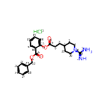 Cl.N=C(N)N1CCC(CCC(=O)Oc2ccccc2C(=O)OCc2ccccc2)CC1